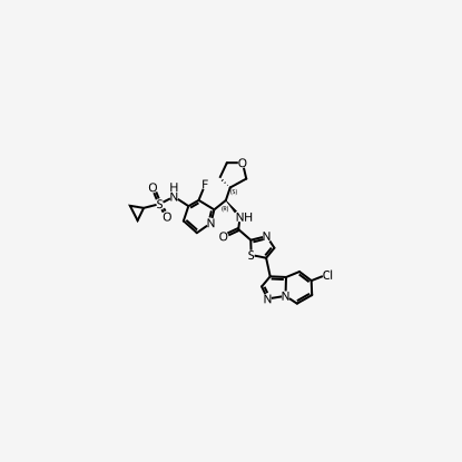 O=C(N[C@@H](c1nccc(NS(=O)(=O)C2CC2)c1F)[C@@H]1CCOC1)c1ncc(-c2cnn3ccc(Cl)cc23)s1